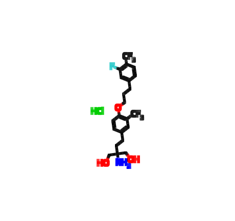 Cl.NC(CO)(CO)CCc1ccc(OCCCc2ccc(C(F)(F)F)c(F)c2)c(C(F)(F)F)c1